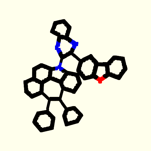 c1ccc(C2=C(c3ccccc3)c3cccc4c3c3c5c2cccc5ccc3n4-c2nc3ccccc3nc2-c2ccc3oc4ccccc4c3c2)cc1